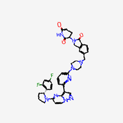 O=C1CCC(N2Cc3cc(CN4CCN(c5cccc(-c6cnn7ccc(N8CCC[C@@H]8c8ccc(F)cc8F)nc67)n5)CC4)ccc3C2=O)C(=O)N1